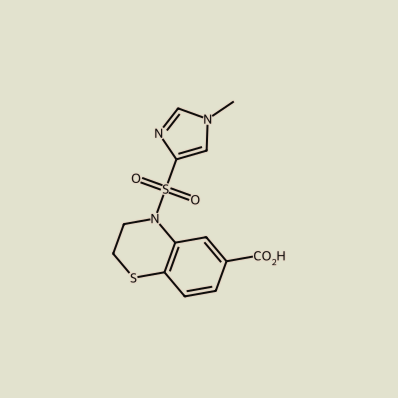 Cn1cnc(S(=O)(=O)N2CCSc3ccc(C(=O)O)cc32)c1